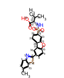 Cc1ccc2nc(-c3ccc4oc5cc(S(=O)(=O)N[C@H](C(=O)O)C(C)C)ccc5c4c3)sc2c1